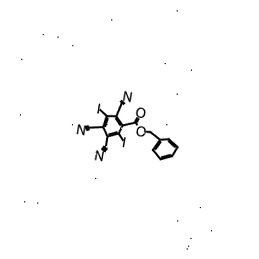 N#Cc1c(I)c(C#N)c(C(=O)OCc2ccccc2)c(I)c1C#N